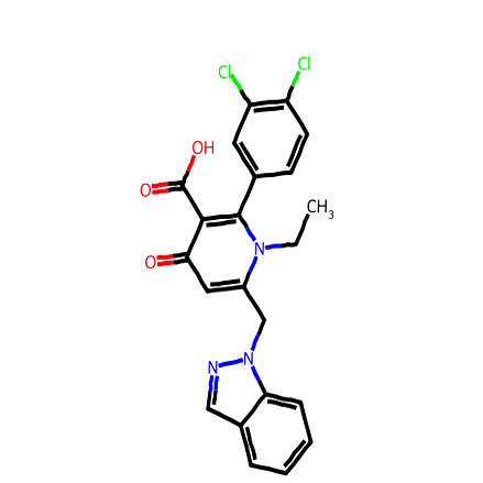 CCn1c(Cn2ncc3ccccc32)cc(=O)c(C(=O)O)c1-c1ccc(Cl)c(Cl)c1